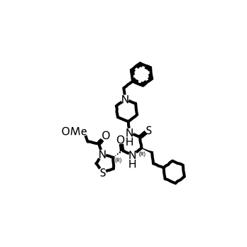 COCC(=O)N1CSC[C@H]1C(=O)N[C@H](CCC1CCCCC1)C(=S)NC1CCN(Cc2ccccc2)CC1